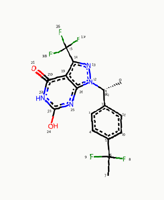 C[C@H](c1ccc(C(C)(F)F)cc1)n1nc(C(F)(F)F)c2c(=O)[nH]c(O)nc21